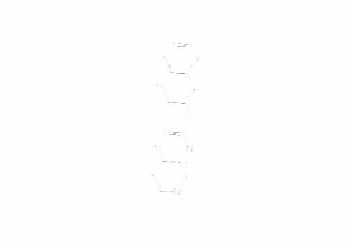 c1ccc2cc(Oc3ccc4ccncc4n3)ccc2c1